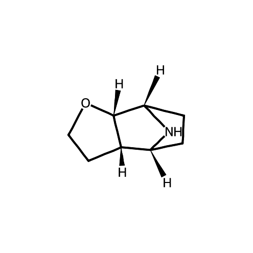 C1C[C@@H]2[C@H](O1)[C@@H]1CC[C@H]2N1